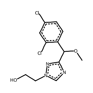 COC(c1ncn(CCO)n1)c1ccc(Cl)cc1Cl